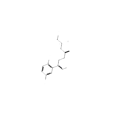 C=C(CC/C(=C\C)c1cc(Cl)ccc1Cl)C[C@@H](N)CC(=O)OCC